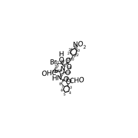 O=COc1ccccc1CC(=O)N[C@@H]1C(=O)N(/C(C(=O)OCc2ccc([N+](=O)[O-])cc2)=C(/O)CBr)C1SC=O